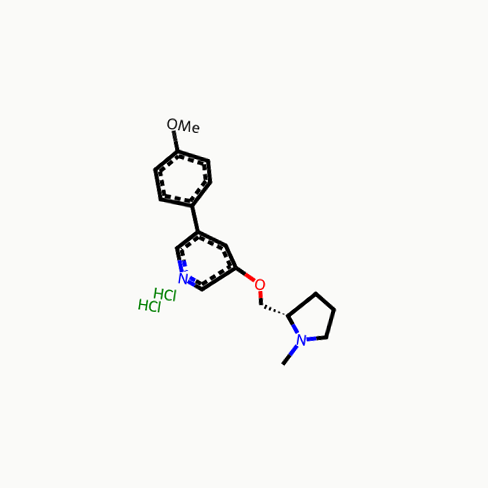 COc1ccc(-c2cncc(OC[C@@H]3CCCN3C)c2)cc1.Cl.Cl